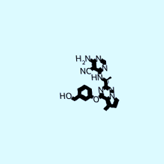 Cc1ccn2nc([C@H](C)Nc3ncnc(N)c3C#N)nc(Oc3cccc(CO)c3)c12